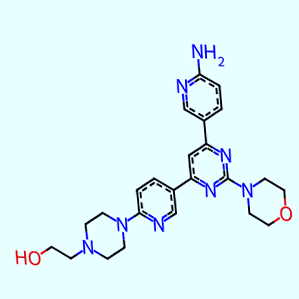 Nc1ccc(-c2cc(-c3ccc(N4CCN(CCO)CC4)nc3)nc(N3CCOCC3)n2)cn1